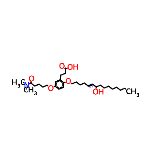 CCCCCCCCC(O)/C=C/CCCCOc1ccc(OCCCCC(=O)N(C)C)cc1CCC(=O)O